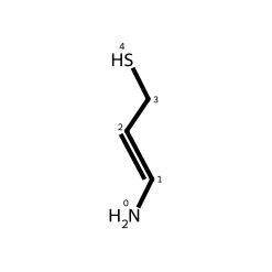 NC=CCS